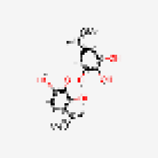 COC(C)c1cc(O)c(O)c(OOc2c(O)ccc(C(C)OC)c2O)c1